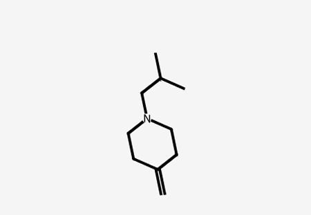 C=C1CCN(C[C](C)C)CC1